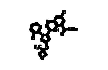 CNC(=O)c1cc(Cl)cc(Br)c1NC(=O)c1cc(OC2(C(F)(F)F)COC2)nn1-c1ncccc1Cl